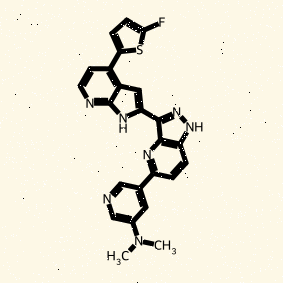 CN(C)c1cncc(-c2ccc3[nH]nc(-c4cc5c(-c6ccc(F)s6)ccnc5[nH]4)c3n2)c1